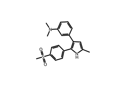 Cc1cc(-c2cccc(N(C)C)c2)c(-c2ccc(S(C)(=O)=O)cc2)[nH]1